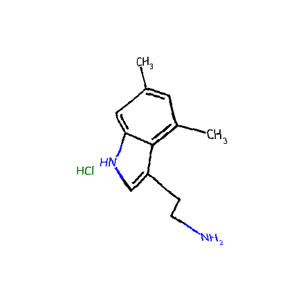 Cc1cc(C)c2c(CCN)c[nH]c2c1.Cl